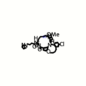 CO[C@H]1/C=C/CCC[S@@](=O)(NC(=O)CCCn2cccn2)=NC(=O)c2ccc3c(c2)N(Cc2ccc(Cl)cc2CCCCO3)C[C@@H]2CC[C@H]21